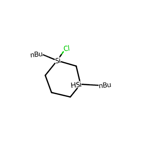 CCCC[SiH]1CCC[Si](Cl)(CCCC)C1